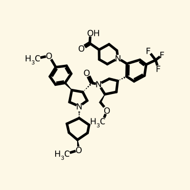 COC[C@@H]1C[C@@H](c2ccc(C(F)(F)F)cc2N2CCC(C(=O)O)CC2)CN1C(=O)[C@@H]1CN([C@H]2CC[C@H](OC)CC2)C[C@H]1c1ccc(OC)cc1